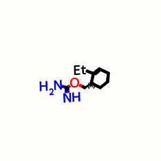 CCC1=CCCC[C@H]1COC(=N)N